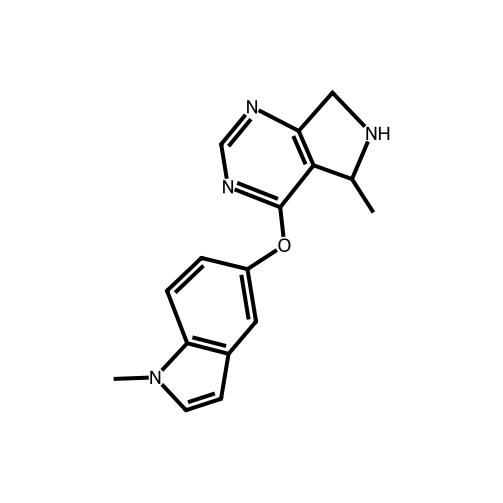 CC1NCc2ncnc(Oc3ccc4c(ccn4C)c3)c21